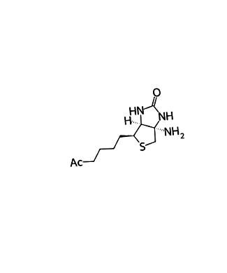 CC(=O)CCCC[C@@H]1SC[C@]2(N)NC(=O)N[C@H]12